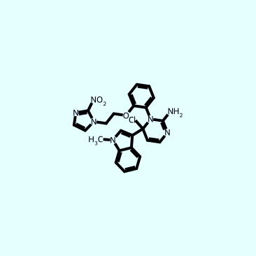 Cn1cc(C2(Cl)C=CN=C(N)N2c2ccccc2OCCn2ccnc2[N+](=O)[O-])c2ccccc21